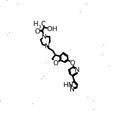 CC(O)C(=O)N1CCN(CCC2COc3cc(Oc4ccc(-c5ccn[nH]5)cn4)ccc32)CC1